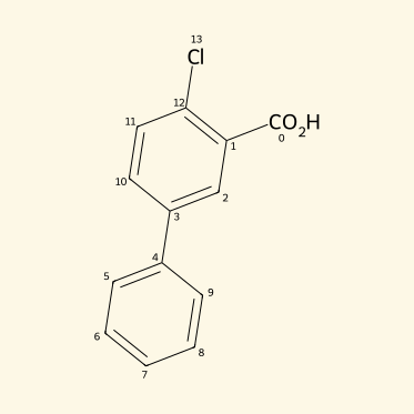 O=C(O)c1cc(-c2ccccc2)ccc1Cl